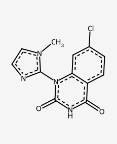 Cn1ccnc1-n1c(=O)[nH]c(=O)c2ccc(Cl)cc21